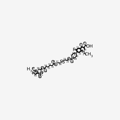 CCn1cc(C(=O)O)c(=O)c2cc(F)c(N3CCN(C(=O)OCCSSCCOC(=O)CCCCC(=O)OCCn4c([N+](=O)[O-])cnc4C)CC3)cc21